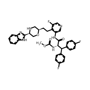 COC(=O)N[C@H](C(=O)Nc1cncc(F)c1CC[C@@H]1CN[C@H](c2nc3ccccc3[nH]2)CO1)C(c1ccc(F)cc1)c1ccc(F)cc1